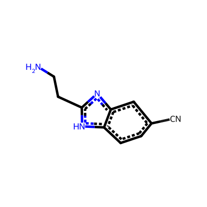 N#Cc1ccc2[nH]c(CCN)nc2c1